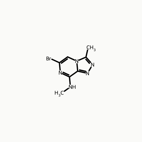 CNc1nc(Br)cn2c(C)nnc12